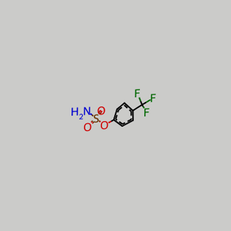 NS(=O)(=O)Oc1ccc(C(F)(F)F)cc1